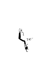 [C-]#[N+]CC=C.[Tc]